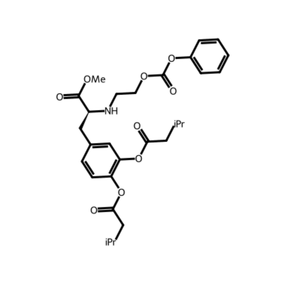 COC(=O)[C@H](Cc1ccc(OC(=O)CC(C)C)c(OC(=O)CC(C)C)c1)NCCOC(=O)Oc1ccccc1